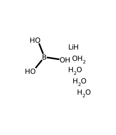 O.O.O.O.OB(O)O.[LiH]